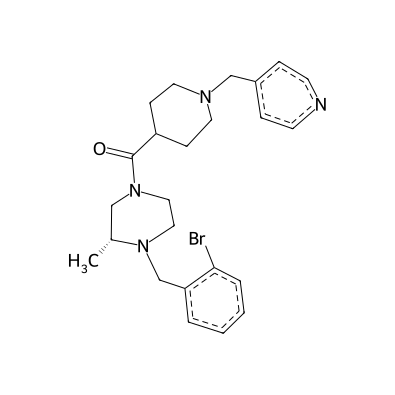 C[C@@H]1CN(C(=O)C2CCN(Cc3ccncc3)CC2)CCN1Cc1ccccc1Br